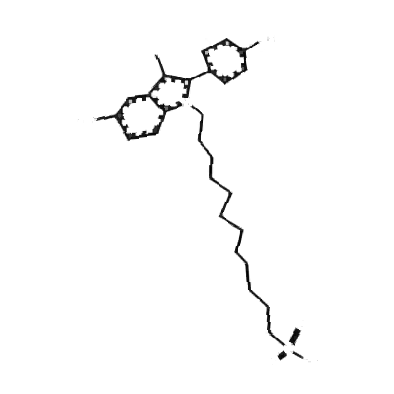 CCCS(=O)(=O)CCCCCCCCCCCCn1c(-c2ccc(O)cc2)c(C)c2cc(O)ccc21